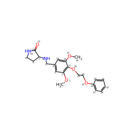 COc1cc(CNC2CCNC2=O)cc(OC)c1OCCOc1ccccc1